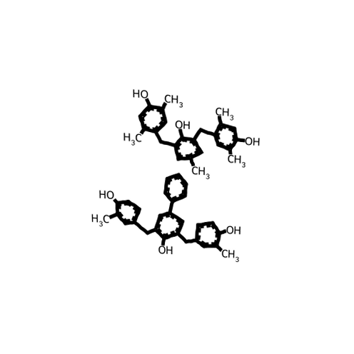 Cc1cc(Cc2cc(-c3ccccc3)cc(Cc3ccc(O)c(C)c3)c2O)ccc1O.Cc1cc(Cc2cc(C)c(O)cc2C)c(O)c(Cc2cc(C)c(O)cc2C)c1